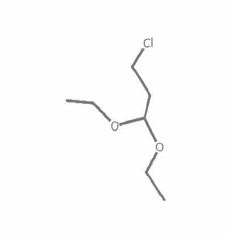 CCOC(CCCl)OCC